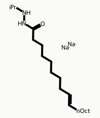 CCCCCCCCC=CCCCCCCCC(=O)NNC(C)C.[Na].[Na]